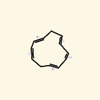 [CH]1/C=C/C=C\C=C\C/C=C\C=C\1